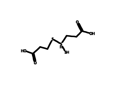 O=C(O)CCS[SH](S)CCC(=O)O